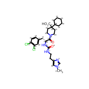 Cn1cnc(CCNC(=O)N[C@H](Cc2ccc(Cl)c(Cl)c2)C(=O)N2CCC(C(=O)O)(C3CCCCC3)CC2)c1